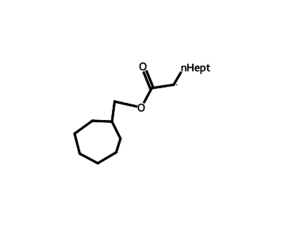 CCCCCCC[CH]C(=O)OCC1CCCCCC1